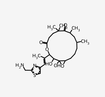 CC(=Cc1csc(CN)n1)C1OC(=O)CCC(C)(C)C(=O)C(C)CC(C)CCCC2OC2(O)C1O